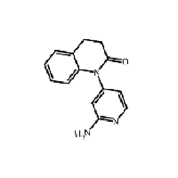 Nc1cc(N2C(=O)CCc3ccccc32)ccn1